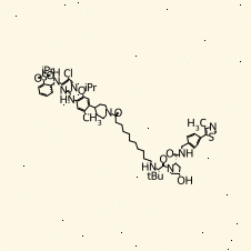 Cc1cc(Nc2ncc(Cl)c(Nc3ccccc3S(=O)(=O)C(C)C)n2)c(OC(C)C)cc1C1CCN(C(=O)CCCCCCCCCCN[C@H](C(=O)N2C[C@H](O)C[C@H]2C(=O)NCc2ccc(-c3scnc3C)cc2)C(C)(C)C)CC1